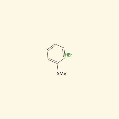 Br.CSc1ccccc1